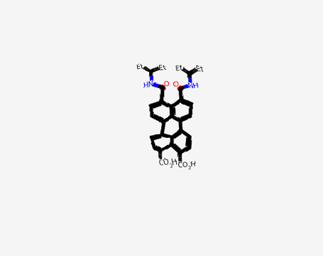 CCC(CC)NC(=O)c1ccc2c3ccc(C(=O)O)c4c(C(=O)O)ccc(c5ccc(C(=O)NC(CC)CC)c1c25)c43